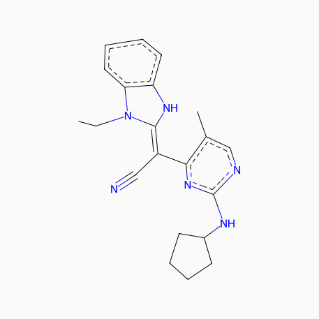 CCN1/C(=C(\C#N)c2nc(NC3CCCC3)ncc2C)Nc2ccccc21